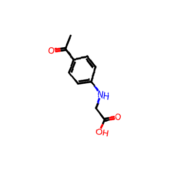 CC(=O)c1ccc(NCC(=O)O)cc1